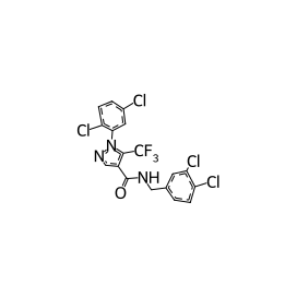 O=C(NCc1ccc(Cl)c(Cl)c1)c1cnn(-c2cc(Cl)ccc2Cl)c1C(F)(F)F